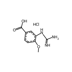 COc1ccc(C(=O)O)cc1NC(=N)N.Cl